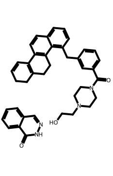 O=C(c1cccc(Cc2cccc3ccc4c(c23)CCC2=C4C=CCC2)c1)N1CCN(CCO)CC1.O=c1[nH]ncc2ccccc12